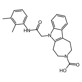 Cc1cccc(NC(=O)Cn2c3c(c4ccccc42)CCN(C(=O)O)CC3)c1C